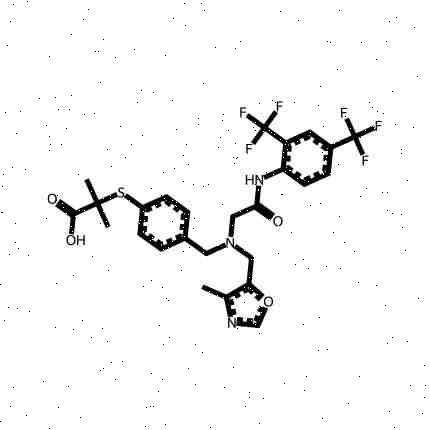 Cc1ncoc1CN(CC(=O)Nc1ccc(C(F)(F)F)cc1C(F)(F)F)Cc1ccc(SC(C)(C)C(=O)O)cc1